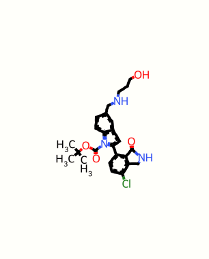 CC(C)(C)OC(=O)n1c(-c2ccc(Cl)c3c2C(=O)NC3)cc2cc(CNCCCO)ccc21